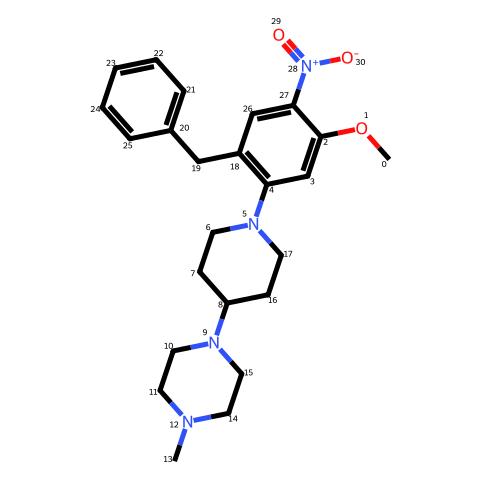 COc1cc(N2CCC(N3CCN(C)CC3)CC2)c(Cc2ccccc2)cc1[N+](=O)[O-]